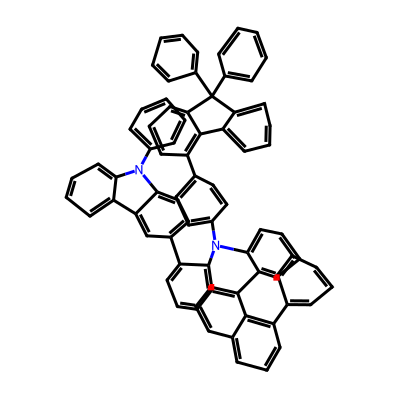 c1ccc(-c2cccc3cccc(-c4ccccc4N(c4ccc(-c5cccc6c5-c5ccccc5C6(c5ccccc5)c5ccccc5)cc4)c4ccccc4-c4ccc5c(c4)c4ccccc4n5-c4ccccc4)c23)cc1